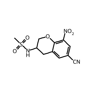 CS(=O)(=O)NC1COc2c(cc(C#N)cc2[N+](=O)[O-])C1